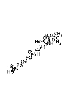 CC(C)(C)OC(=O)NC(CCCCNC(=O)OCCOCCON(O)O)C(=O)O